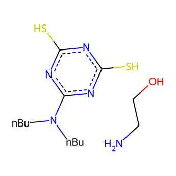 CCCCN(CCCC)c1nc(S)nc(S)n1.NCCO